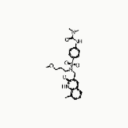 COCCCN(Cc1cc2cccc(C)c2[nH]c1=O)S(=O)(=O)c1ccc(NC(=O)N(C)C)cc1